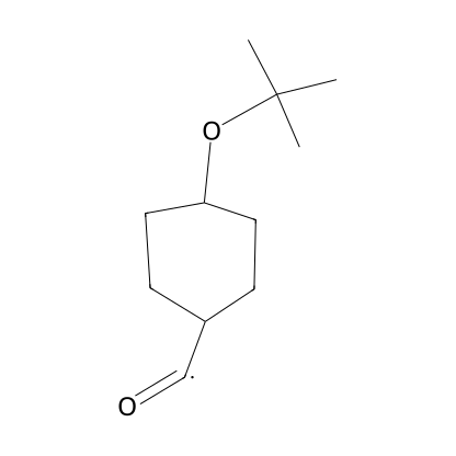 CC(C)(C)OC1CCC([C]=O)CC1